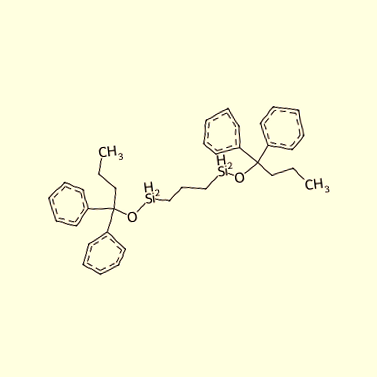 CCCC(O[SiH2]CCC[SiH2]OC(CCC)(c1ccccc1)c1ccccc1)(c1ccccc1)c1ccccc1